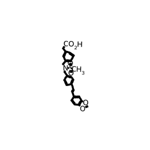 CS(=O)(=O)N(Cc1ccc(C=Cc2ccc3c(c2)OCO3)cc1)Cc1cccc(CC(=O)O)c1